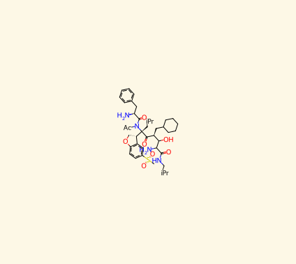 CC(=O)N(C(=O)[C@@H](N)Cc1ccccc1)[C@](CC(C)C)(C(=O)[C@@H](CC1CCCCC1)C(O)C(N)C(=O)NCC(C)C)[C@H]1COc2ccc(S(C)(=O)=O)cc21